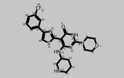 O=c1[nH]c(N2CCOCC2)nc(NC2CCCNC2)c1-c1nc(-c2cccc(C(F)(F)F)c2)cs1